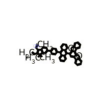 C=CC1=C(/C=C\C)c2ccc(-c3ccc(-c4c5ccccc5c(-c5cc6c7ccccc7oc6c6c5oc5ccccc56)c5ccccc45)cc3)cc2C1(C)C